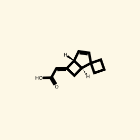 O=C(O)C=C1C[C@H]2[C@H]1C=CC21CCC1